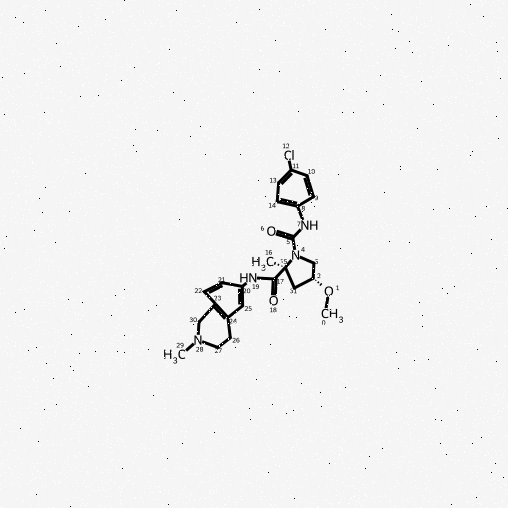 CO[C@H]1CN(C(=O)Nc2ccc(Cl)cc2)[C@](C)(C(=O)Nc2ccc3c(c2)CCN(C)C3)C1